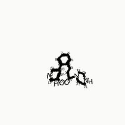 O=C(CCc1ccccc1-c1cncc(O)c1)N1CCNCC1